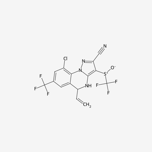 C=CC1Nc2c([S+]([O-])C(F)(F)F)c(C#N)nn2-c2c(Cl)cc(C(F)(F)F)cc21